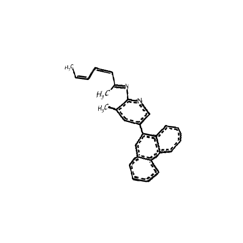 C\C=C/C=C\C(C)=N\c1ncc(-c2cc3ccccc3c3ccccc23)cc1C